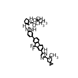 CN1CC2(CC2)CC1c1ncc(-c2ccc3c(c2)C(F)(F)c2cc(-c4ccc5nc([C@@H]6[C@H]7CC[C@H](C7)N6C(=O)OC(C)(C)C)[nH]c5c4)ccc2-3)[nH]1